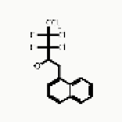 [O]C(Cc1cccc2ccccc12)C(Cl)(Cl)C(Cl)(Cl)C(Cl)(Cl)Cl